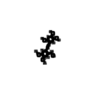 COc1cc(OC)c(OC)cc1C#Cc1cc(OC)c(OC)cc1C=O